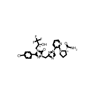 NC(=O)[C@@H]1CCCN1c1ncccc1-n1cnc(Cn2nc(-c3ccc(Cl)cc3)n(C[C@H](O)C(F)(F)F)c2=O)n1